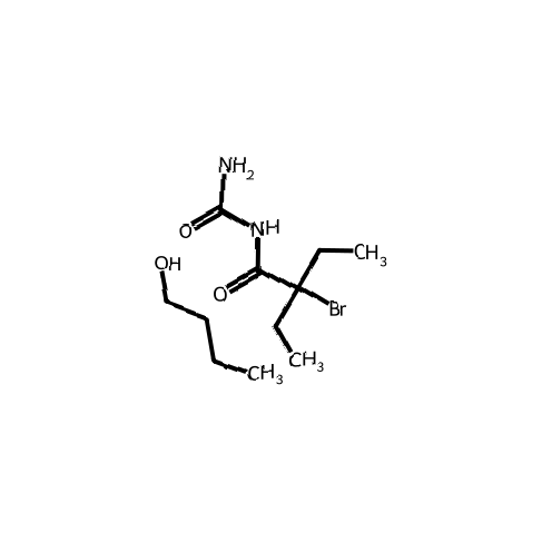 CCC(Br)(CC)C(=O)NC(N)=O.CCCCO